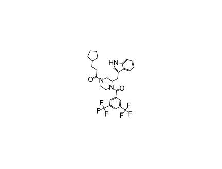 O=C(CCC1CCCC1)N1CCN(C(=O)c2cc(C(F)(F)F)cc(C(F)(F)F)c2)C(Cc2c[nH]c3ccccc23)C1